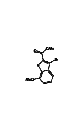 COC(=O)c1sc2c(OC)cccc2c1Br